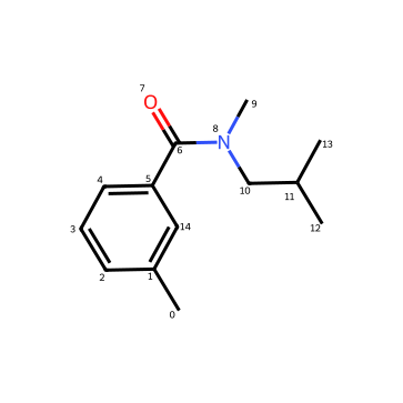 Cc1cccc(C(=O)N(C)CC(C)C)c1